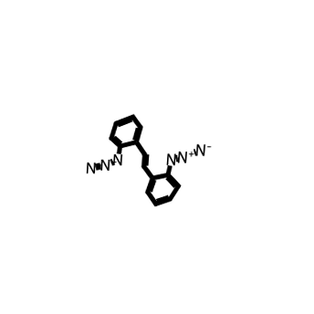 [N-]=[N+]=Nc1ccccc1C=Cc1ccccc1N=[N+]=[N-]